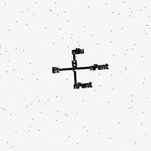 CCCCC[PH](CC)(CCCC)CCCCC